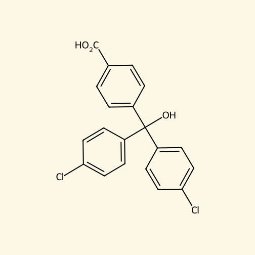 O=C(O)c1ccc(C(O)(c2ccc(Cl)cc2)c2ccc(Cl)cc2)cc1